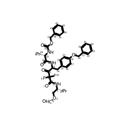 CC(C)[C@H](COC=O)NC(=O)C(F)(F)C(=O)C(Cc1ccc(OCc2ccccc2)cc1)NC(=O)[C@@H](NC(=O)OCc1ccccc1)C(C)C